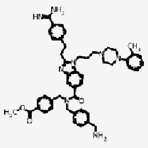 COC(=O)c1ccc(CN(Cc2ccc(CN)cc2)C(=O)c2ccc3c(c2)nc(CCc2ccc(C(=N)N)cc2)n3CCCN2CCN(c3ccccc3C)CC2)cc1